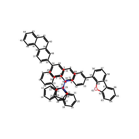 c1ccc(-c2ccccc2-n2c3ccccc3c3ccccc32)c(-c2ccccc2N(c2ccc(-c3ccc4c(ccc5ccccc54)c3)cc2)c2ccc(-c3cccc4c3oc3ccccc34)cc2)c1